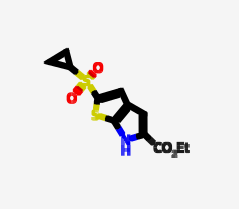 CCOC(=O)c1cc2cc(S(=O)(=O)C3CC3)sc2[nH]1